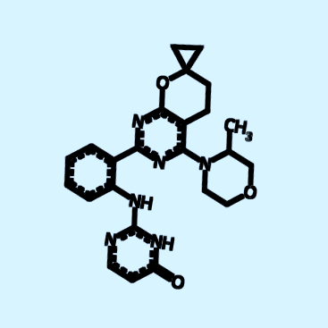 CC1COCCN1c1nc(-c2ccccc2Nc2nccc(=O)[nH]2)nc2c1CCC1(CC1)O2